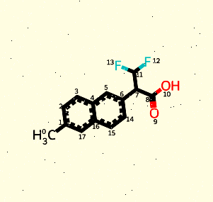 Cc1ccc2cc(C(C(=O)O)C(F)F)ccc2c1